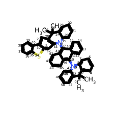 CC1(C)c2ccccc2N(c2c3ccccc3c(N3c4ccccc4C(C)(C)c4cc5c(cc43)sc3ccccc35)c3ccccc23)c2ccccc21